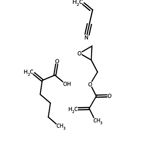 C=C(C)C(=O)OCC1CO1.C=C(CCCC)C(=O)O.C=CC#N